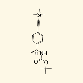 C[C@H](NC(=O)OC(C)(C)C)c1ccc(C#C[Si](C)(C)C)cc1